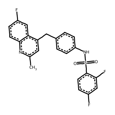 Cc1cc(Cc2ccc(NS(=O)(=O)c3ccc(F)cc3F)cc2)c2cc(F)ccc2n1